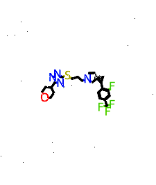 Cn1c(SCCCN2CC[C@@]3(CC3c3ccc(C(F)(F)F)cc3F)C2)nnc1C1CCOCC1